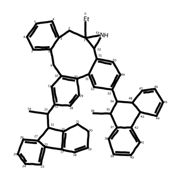 CCC12Cc3ccccc3Cc3cc(C(C)C4C5=C(C=CCC5)c5ccccc54)ccc3-c3cc(C4C(C)c5ccccc5C5C=CC=CC54)ccc3C1N2